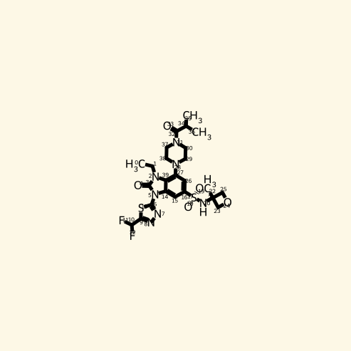 CCn1c(=O)n(-c2nnc(C(F)F)s2)c2cc(S(=O)(=O)NC3(C)COC3)cc(N3CCN(C(=O)C(C)C)CC3)c21